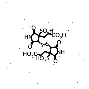 O=C(O)CCC1(S(=O)(=O)O)C(=O)NC(=O)C1SSC1C(=O)NC(=O)C1(CCC(=O)O)S(=O)(=O)O